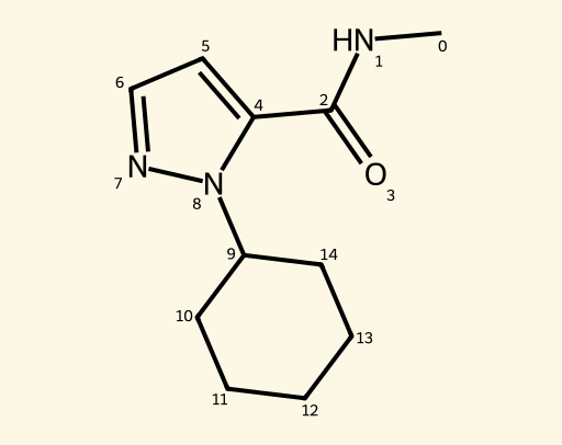 CNC(=O)c1ccnn1C1CCCCC1